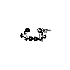 COC(=O)N[C@H](C(=O)N1CCC[C@H]1c1ncc(-c2ccc(-c3ccc(-c4cnc([C@@H]5CCCN5C(=O)Cc5ccccc5)[nH]4)cc3)cc2)[nH]1)C1CCOCC1